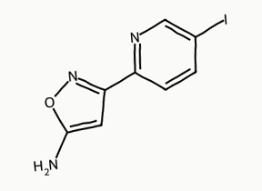 Nc1cc(-c2ccc(I)cn2)no1